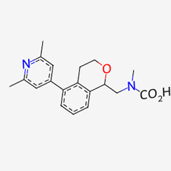 Cc1cc(-c2cccc3c2CCOC3CN(C)C(=O)O)cc(C)n1